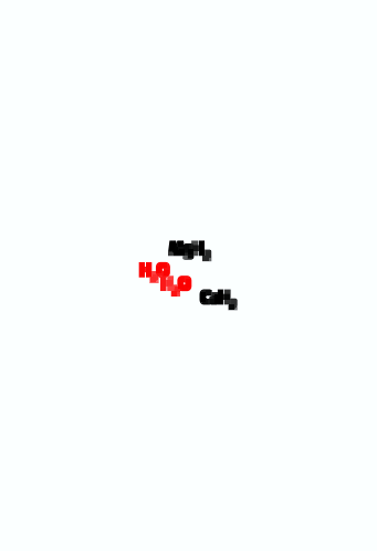 O.O.[CaH2].[MgH2]